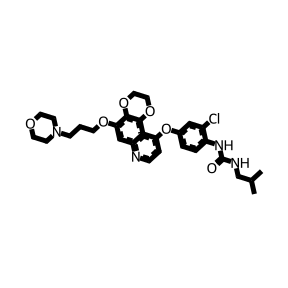 CC(C)CNC(=O)Nc1ccc(Oc2ccnc3cc(OCCCN4CCOCC4)c4c(c23)OCCO4)cc1Cl